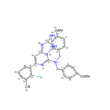 COc1ccc(CN(Cc2ccc(OC)cc2)C2=NC(c3cccc(C#N)c3F)=CC3=NC(N)NN32)cc1